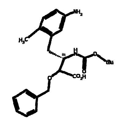 Cc1ccc(N)cc1C[C@H](NC(=O)OC(C)(C)C)C(OCc1ccccc1)C(=O)O